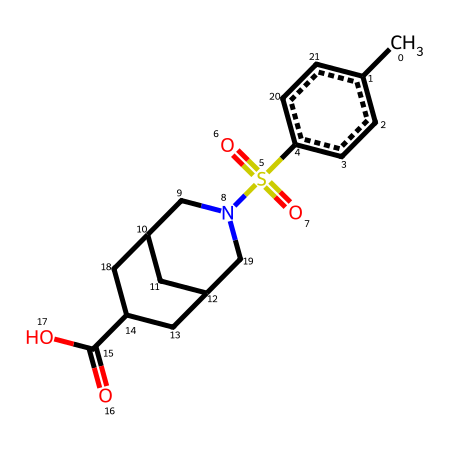 Cc1ccc(S(=O)(=O)N2CC3CC(CC(C(=O)O)C3)C2)cc1